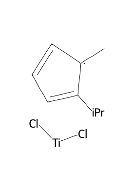 C[C]1C=CC=C1C(C)C.[Cl][Ti][Cl]